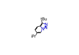 CC(C)c1ccc2c(C(C)(C)C)nnn2c1